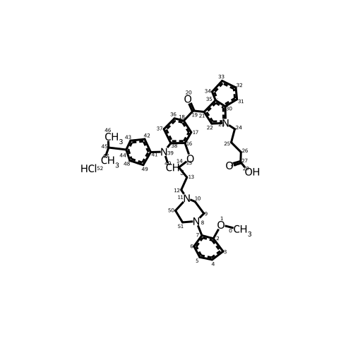 COc1ccccc1N1CCN(CCCOc2cc(C(=O)c3cn(CCCC(=O)O)c4ccccc34)ccc2N(C)c2ccc(C(C)C)cc2)CC1.Cl